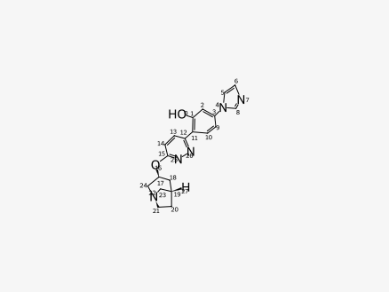 Oc1cc(-n2ccnc2)ccc1-c1ccc(O[C@H]2C[C@@H]3CC[N@](C3)C2)nn1